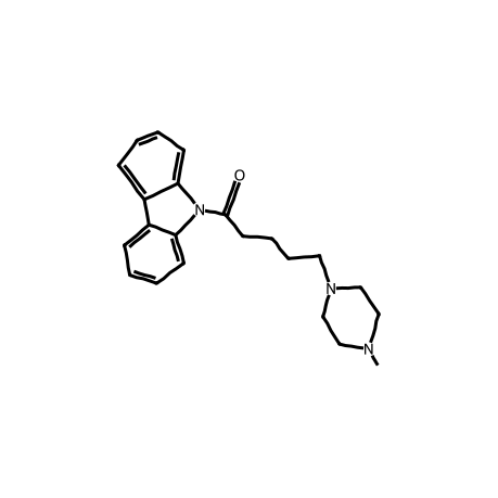 CN1CCN(CCCCC(=O)n2c3ccccc3c3ccccc32)CC1